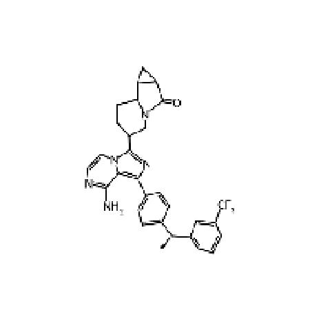 C[C@@H](c1ccc(-c2nc(C3CCC4C5CC5C(=O)N4C3)n3ccnc(N)c23)cc1)c1cccc(C(F)(F)F)c1